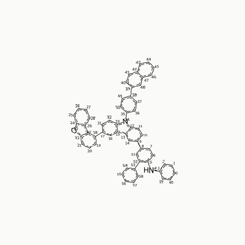 c1ccc(Nc2ccc(-c3ccc4c(c3)c3cc(-c5cccc6oc7ccccc7c56)ccc3n4-c3ccc(-c4ccc5ccccc5c4)cc3)cc2-c2ccccc2)cc1